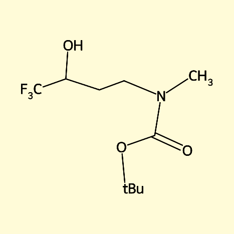 CN(CCC(O)C(F)(F)F)C(=O)OC(C)(C)C